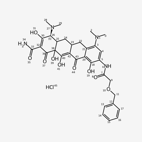 CN(C)c1cc(NC(=O)COCc2ccccc2)c(O)c2c1CC1CC3[C@H](N(C)C)C(O)=C(C(N)=O)C(=O)C3(O)C(O)=C1C2=O.Cl